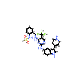 CS(=O)(=O)Nc1ccccc1CNc1nc(Nc2ccc3[nH]cc(C4=CCNCC4)c3c2)ncc1C(F)(F)F